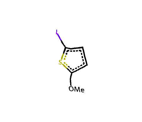 COc1ccc(I)s1